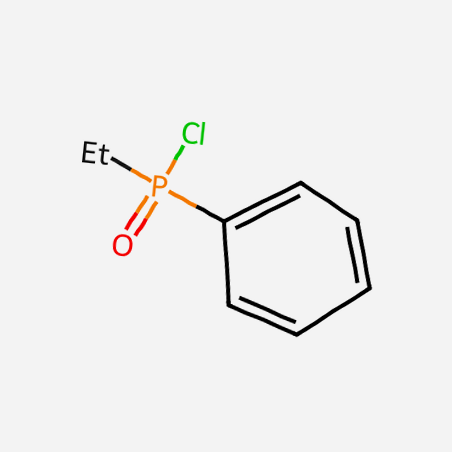 CCP(=O)(Cl)c1ccccc1